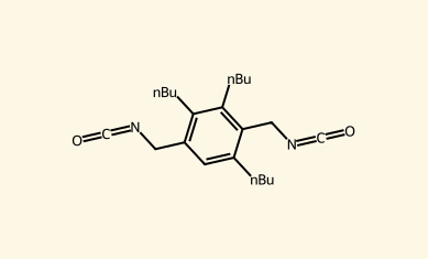 CCCCc1cc(CN=C=O)c(CCCC)c(CCCC)c1CN=C=O